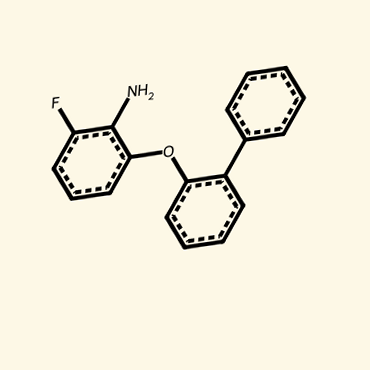 Nc1c(F)cccc1Oc1ccccc1-c1ccccc1